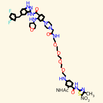 CC(=O)Nc1cc(NCCOCCOCCOCCOCCNC(=O)CN2CCN(c3ccc(C(=O)Nc4n[nH]c5ccc(Cc6cc(F)cc(F)c6)cc45)c(NC4CCOCC4)c3)CC2)ccc1C(=O)Nc1nc(C)c([N+](=O)[O-])s1